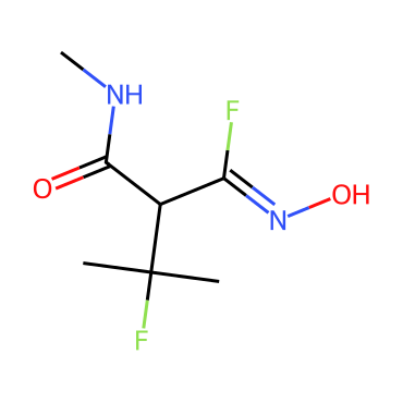 CNC(=O)C(C(F)=NO)C(C)(C)F